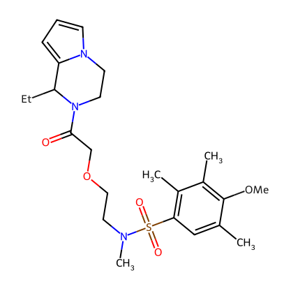 CCC1c2cccn2CCN1C(=O)COCCN(C)S(=O)(=O)c1cc(C)c(OC)c(C)c1C